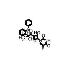 CC(C)(C)C(O[SiH](c1ccccc1)c1ccccc1)C1CC(n2cc(F)c(=O)[nH]c2=O)C1O